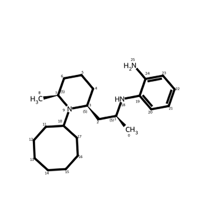 C[C@@H](C[C@@H]1CCC[C@H](C)N1C1CCCCCCC1)Nc1ccccc1N